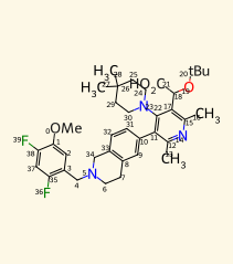 COc1cc(CN2CCc3cc(-c4c(C)nc(C)c(C(OC(C)(C)C)C(=O)O)c4N4CCC(C)(C)CC4)ccc3C2)c(F)cc1F